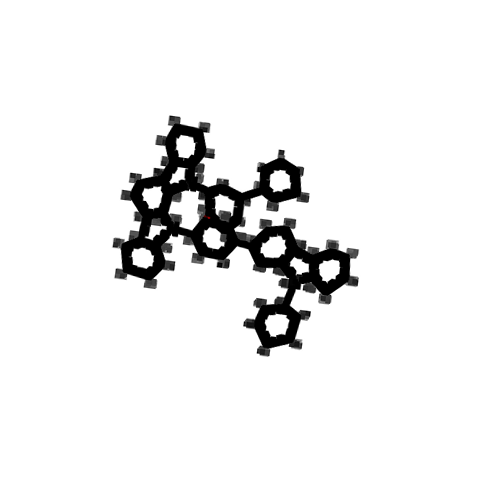 c1ccc(-c2cccc(-n3c4ccccc4c4ccc5c6ccccc6n(-c6ccc(-c7ccc8c9ccccc9n(-c9ccccc9)c8c7)cc6)c5c43)c2)cc1